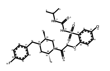 CC(C)NC(=O)NS(=O)(=O)c1cc(Cl)ccc1OCC(=O)N1C[C@H](C)N(Cc2ccc(F)cc2)C[C@H]1C